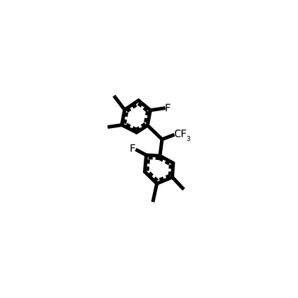 Cc1cc(F)c(C(c2cc(C)c(C)cc2F)C(F)(F)F)cc1C